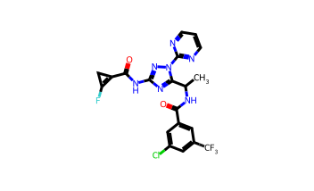 CC(NC(=O)c1cc(Cl)cc(C(F)(F)F)c1)c1nc(NC(=O)C2=C(F)C2)nn1-c1ncccn1